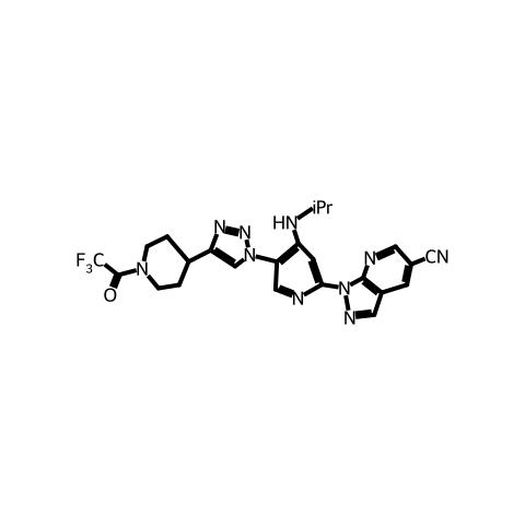 CC(C)Nc1cc(-n2ncc3cc(C#N)cnc32)ncc1-n1cc(C2CCN(C(=O)C(F)(F)F)CC2)nn1